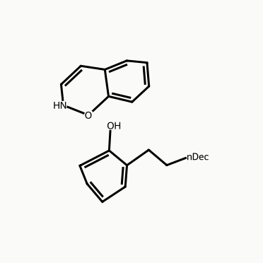 C1=Cc2ccccc2ON1.CCCCCCCCCCCCc1ccccc1O